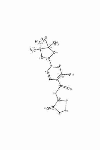 CC1(C)OB(c2ccc(C(=O)CN3CCCC3=O)c(F)c2)OC1(C)C